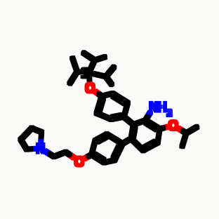 CC(C)Oc1ccc(-c2ccc(OCCN3CCCC3)cc2)c(-c2ccc(O[Si](C(C)C)(C(C)C)C(C)C)cc2)c1N